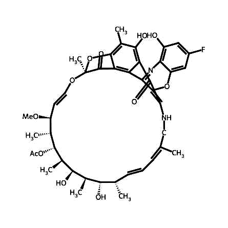 CO[C@H]1/C=C/O[C@@]2(C)Oc3c(C)c(O)c4c(=O)c(c5oc6cc(F)cc(O)c6nc-5c4c3C2=O)NC/C(C)=C\C=C\[C@H](C)[C@H](O)[C@@H](C)[C@@H](O)[C@@H](C)[C@H](OC(C)=O)[C@@H]1C